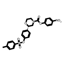 Cc1ccc(S(=O)(=O)Oc2ccc([C@H]3CN(C(=O)Oc4ccc([N+](=O)[O-])cc4)CCO3)cc2)cc1